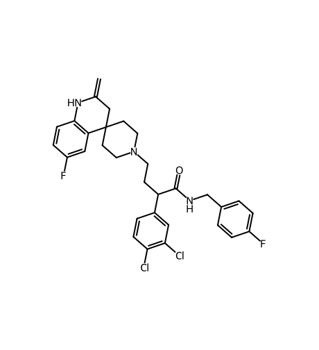 C=C1CC2(CCN(CCC(C(=O)NCc3ccc(F)cc3)c3ccc(Cl)c(Cl)c3)CC2)c2cc(F)ccc2N1